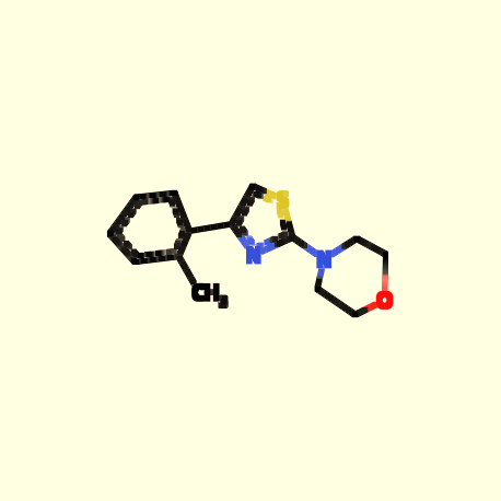 Cc1ccccc1-c1csc(N2CCOCC2)n1